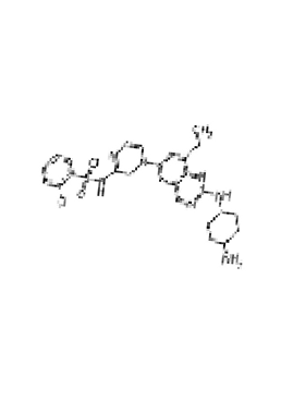 CCc1cc(N2C=CN=C(NS(=O)(=O)c3ccccc3Cl)C2)cc2cnc(NC3CCC(N)CC3)nc12